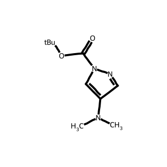 CN(C)c1cnn(C(=O)OC(C)(C)C)c1